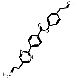 C=CCc1ccc(OC(=O)c2ccc(-c3ncc(CC=C)cn3)cc2)cc1